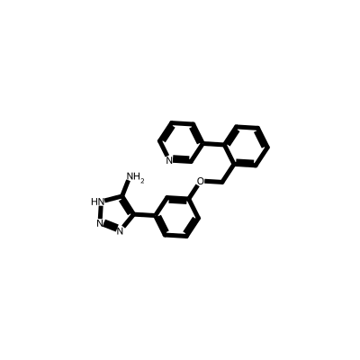 Nc1[nH]nnc1-c1cccc(OCc2ccccc2-c2cccnc2)c1